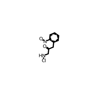 O=Nc1ccccc1CC(=O)CNCl